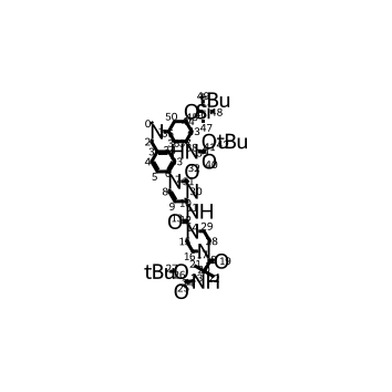 CN(Cc1ccc(-n2ccc(NC(=O)N3CCN(C(=O)C(C)(C)NC(=O)OC(C)(C)C)CC3)nc2=O)cc1)C1CC(NC(=O)OC(C)(C)C)CC(O[Si](C)(C)C(C)(C)C)C1